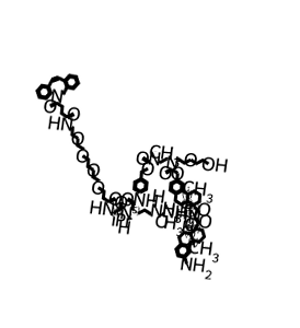 CC(C)[C@H](NC(=O)CCOCCOCCOCCOCCNC(=O)CCC(=O)N1Cc2ccccc2C#Cc2ccccc21)C(=O)N[C@@H](CCCNC(N)=O)C(=O)Nc1ccc(COC(=O)N(C)CCN(CCOCCO)C(=O)Oc2ccc3c(c2)[C@@]2(C)CCC[C@](C)(C(=O)NC(=O)[C@@]4(C)CCC[C@]5(C)c6cc(N)ccc6CC[C@@H]45)[C@@H]2CC3)cc1